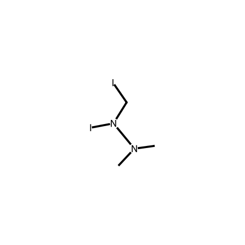 CN(C)N(I)CI